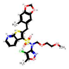 COCCOCN(c1noc(C)c1Cl)S(=O)(=O)c1c(Cc2cc3c(cc2C)OCO3)sc2ncccc12